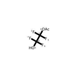 CC(=O)OC(F)(F)C(O)(F)F